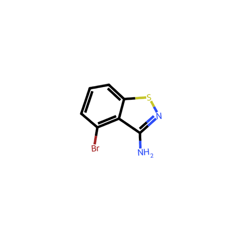 Nc1nsc2cccc(Br)c12